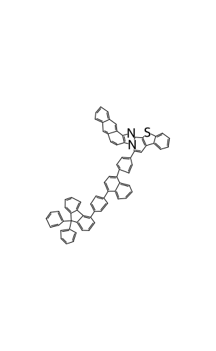 c1ccc(C2(c3ccccc3)c3ccccc3-c3c(-c4ccc(-c5ccc(-c6ccc(-c7cc8c9ccccc9sc8c8nc9c%10cc%11ccccc%11cc%10ccc9n78)cc6)c6ccccc56)cc4)cccc32)cc1